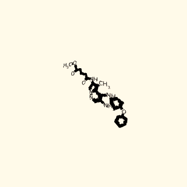 COC(=O)CCCC(=O)Nc1cn2ncc(N)c(Nc3ccc(Oc4ccccc4)cc3)c2c1C